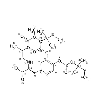 CCC(C)(C)OC(=O)Oc1ccc(C[C@H](NCC(C)OC(=O)OC)C(=O)O)cc1OC(=O)OC(C)(C)CC